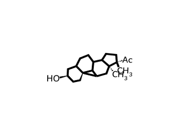 CC(=O)[C@@]1(C)CCC2C3CCC4C[C@H](O)CC[C@@]45C(C[C@@]21C)C35